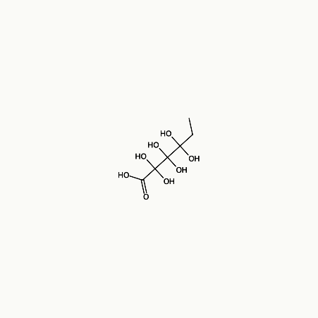 CCC(O)(O)C(O)(O)C(O)(O)C(=O)O